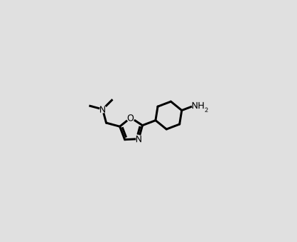 CN(C)Cc1cnc(C2CCC(N)CC2)o1